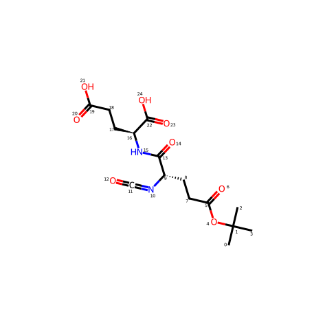 CC(C)(C)OC(=O)CC[C@H](N=C=O)C(=O)N[C@@H](CCC(=O)O)C(=O)O